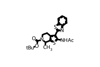 CC(=O)Nc1sc2c(c1-c1nc3ccccc3s1)CCN(C(=O)OC(C)(C)C)C2C